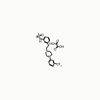 CS(=O)(=O)Nc1cccc(CCN2CCN(c3cccc(C(F)(F)F)c3)CC2)c1.O=C(O)C(=O)O